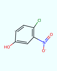 O=[N+]([O-])c1cc(O)[c]cc1Cl